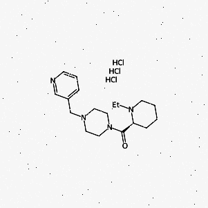 CCN1CCCC[C@H]1C(=O)N1CCN(Cc2cccnc2)CC1.Cl.Cl.Cl